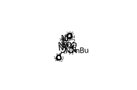 CCCCN1CCN(C(CCc2ccccc2)c2nnc([C@@](C)(N)Cc3ccccc3)o2)C(=O)C1=O